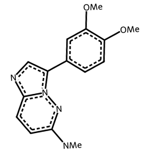 CNc1ccc2ncc(-c3ccc(OC)c(OC)c3)n2n1